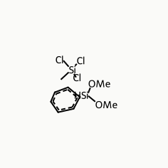 CO[SiH](OC)c1ccccc1.C[Si](Cl)(Cl)Cl